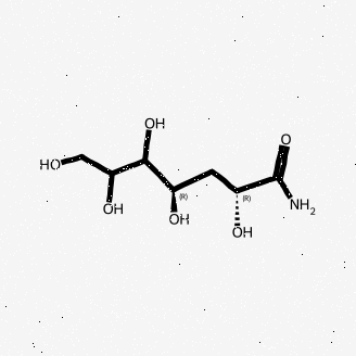 NC(=O)[C@H](O)C[C@@H](O)C(O)C(O)CO